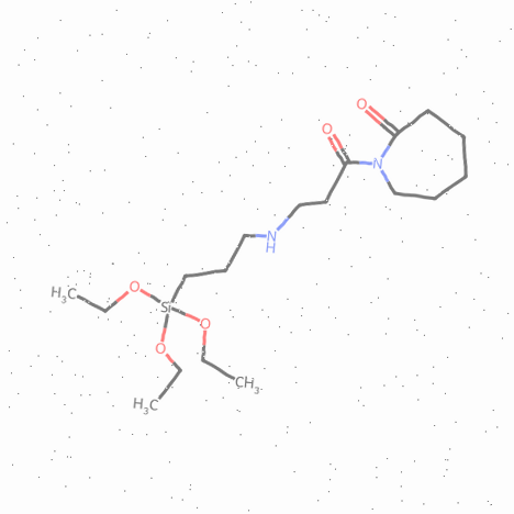 CCO[Si](CCCNCCC(=O)N1CCCCCC1=O)(OCC)OCC